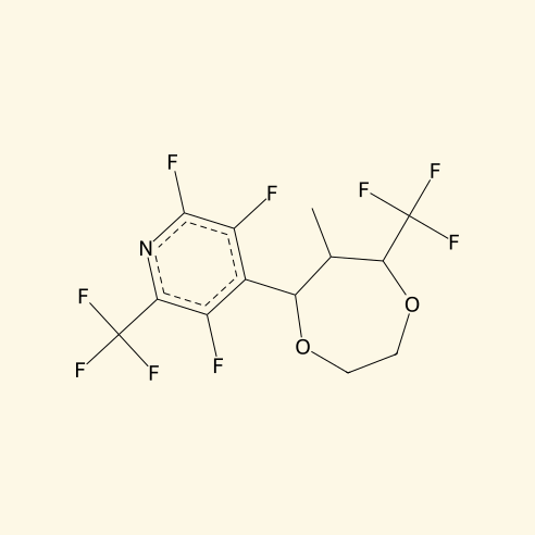 CC1C(c2c(F)c(F)nc(C(F)(F)F)c2F)OCCOC1C(F)(F)F